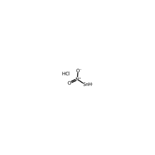 Cl.O=[N+]([O-])[SnH]